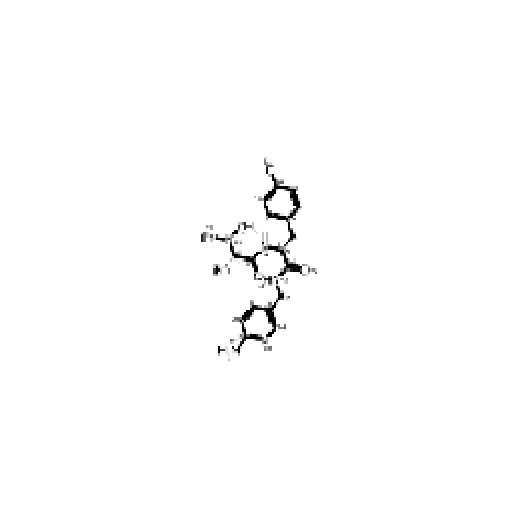 CC(C)[C@@H](C(=O)N[C@@H](Cc1ccc(F)cc1)C(=O)NCc1ccc(N)nc1)N(C)C(C)C